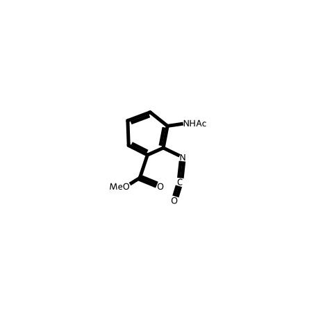 COC(=O)c1cccc(NC(C)=O)c1N=C=O